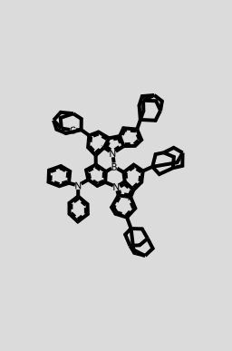 c1ccc(N(c2ccccc2)c2cc3c4c(c2)-n2c5ccc(C67CC8CC(CC(C8)C6)C7)cc5c5cc(C67CC8CC(CC(C8)C6)C7)cc(c52)B4n2c4ccc(C56CCC7CC(CC7C5)C6)cc4c4cc(C56CCC7CC(CC7C5)C6)cc-3c42)cc1